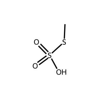 CSS(=O)(=O)O